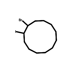 BrC1CCCCCCCCCCC1I